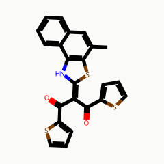 Cc1cc2ccccc2c2c1SC(=C(C(=O)c1cccs1)C(=O)c1cccs1)N2